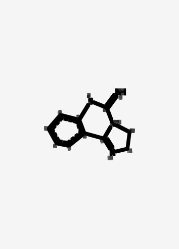 N=C1Sc2ccccc2C2=NCCN12